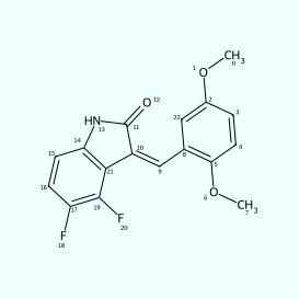 COc1ccc(OC)c(C=C2C(=O)Nc3ccc(F)c(F)c32)c1